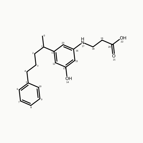 CC(CCCc1ccccc1)c1cc(O)cc(NCCC(=O)O)c1